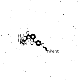 CCCCC/C=C/COc1ccc(C(=O)c2cccc3c(=O)c(N)c(-c4nnn[nH]4)oc23)cc1